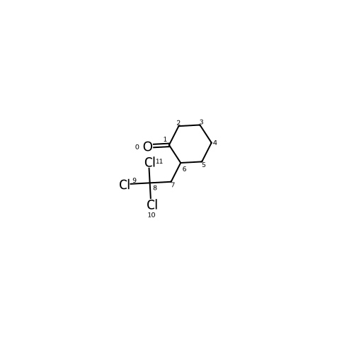 O=C1CCCCC1CC(Cl)(Cl)Cl